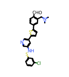 CN(C)Cc1cc(-c2ccc(-c3cncc(NSc4cccc(Cl)c4)c3)s2)ccc1C=O